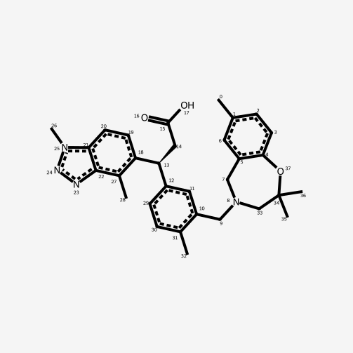 Cc1ccc2c(c1)CN(Cc1cc([C@H](CC(=O)O)c3ccc4c(nnn4C)c3C)ccc1C)CC(C)(C)O2